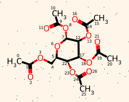 CC(=O)OC[C@H]1O[C@@H](OC(C)=O)C(OC(C)=O)[C@@H](OC(C)=O)[C@H]1OC(C)=O